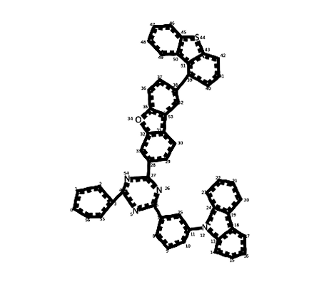 c1ccc(-c2nc(-c3cccc(-n4c5ccccc5c5ccccc54)c3)nc(-c3ccc4c(c3)oc3ccc(-c5cccc6sc7ccccc7c56)cc34)n2)cc1